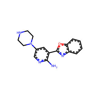 Nc1ncc(N2CCNCC2)cc1-c1nc2ccccc2o1